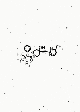 Cc1ccnc(C#CC2(O)CC[C@@H](C(=O)OC(C)(C)C)[C@H](c3ccccc3)C2)n1